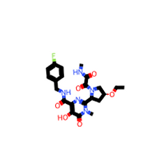 CCO[C@@H]1CC(c2nc(C(=O)NCc3ccc(F)cc3)c(O)c(=O)n2C)N(C(=O)C(=O)NC)C1